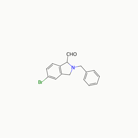 O=CC1c2ccc(Br)cc2CN1Cc1ccccc1